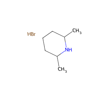 Br.CC1CCCC(C)N1